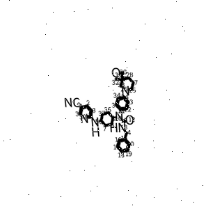 N#Cc1ccc(N[C@H]2CC[C@H](N(C(=O)NCc3ccccc3)c3ccc(N4CCCC5(COC5)C4)cc3)CC2)nc1